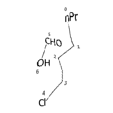 CCCCCCCl.O=CO